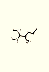 CCCC(O)C(OC)OC